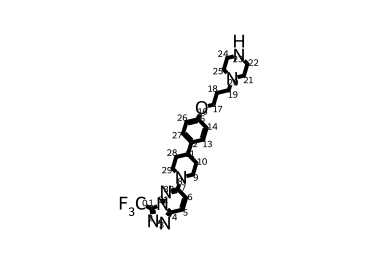 FC(F)(F)c1nnc2ccc(N3CCC(c4ccc(OCCCN5CCNCC5)cc4)CC3)nn12